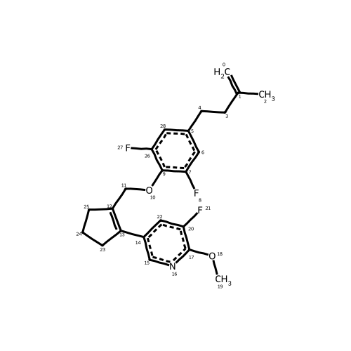 C=C(C)CCc1cc(F)c(OCC2=C(c3cnc(OC)c(F)c3)CCC2)c(F)c1